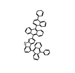 C1=CC(c2ccc(-c3c4ccccc4c(-c4ccc5c(c4)sc4cccc(-c6c7ccccc7c(-c7ccccc7)c7ccccc67)c45)c4ccccc34)c3ccccc23)=CCC1